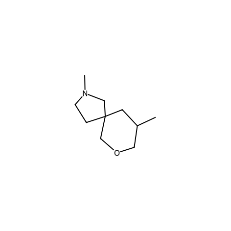 CC1COCC2(CCN(C)C2)C1